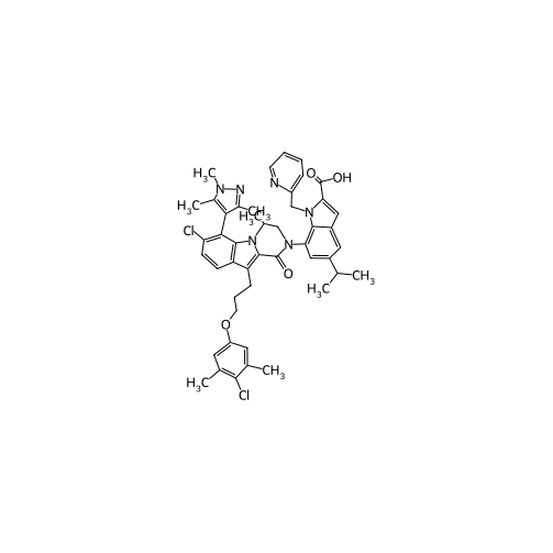 Cc1cc(OCCCc2c3n(c4c(-c5c(C)nn(C)c5C)c(Cl)ccc24)C(C)CN(c2cc(C(C)C)cc4cc(C(=O)O)n(Cc5ccccn5)c24)C3=O)cc(C)c1Cl